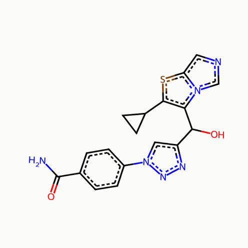 NC(=O)c1ccc(-n2cc(C(O)c3c(C4CC4)sc4cncn34)nn2)cc1